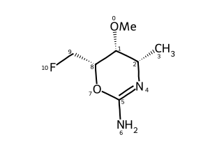 CO[C@@H]1[C@H](C)N=C(N)O[C@@H]1CF